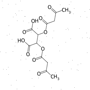 CC(=O)CC(=O)OC(C(=O)O)C(OC(=O)CC(C)=O)C(=O)O